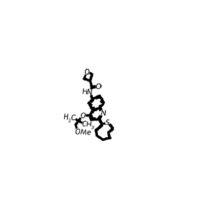 COCC(C)(C)Oc1cc(/C2=C/CCC/C=C/S2)nc2ccc(NC(=O)C3COC3)cc12